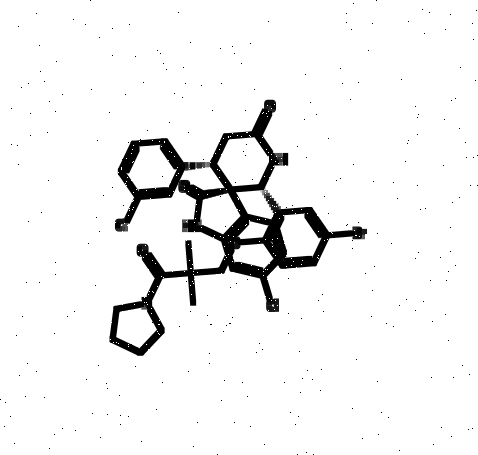 CC(C)(COc1ccc(Br)cc1[C@H]1NC(=O)C[C@@H](c2cccc(Cl)c2)[C@]12C(=O)Nc1cc(Cl)ccc12)C(=O)N1CCCC1